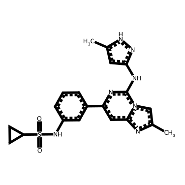 Cc1cn2c(Nc3cc(C)[nH]n3)nc(-c3cccc(NS(=O)(=O)C4CC4)c3)cc2n1